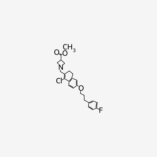 COC(=O)C1CN(CC2=C(Cl)c3ccc(OCCCc4ccc(F)cc4)cc3CC2)C1